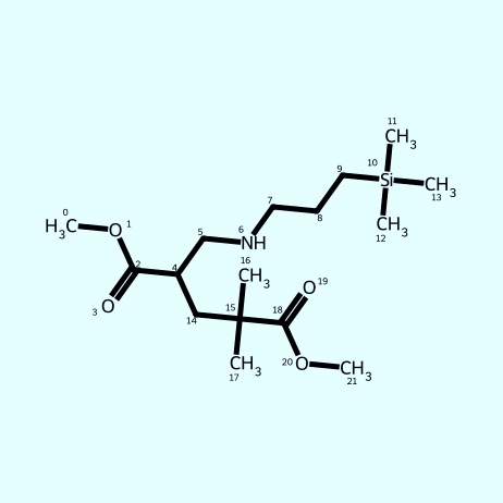 COC(=O)C(CNCCC[Si](C)(C)C)CC(C)(C)C(=O)OC